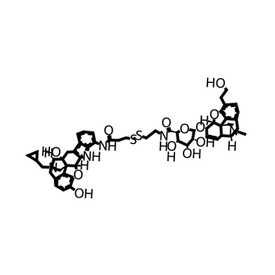 CN1CC[C@]23c4c5ccc(CCO)c4O[C@H]2[C@@H](O[C@@H]2O[C@H](C(=O)NCCSSCCC(=O)Nc4cccc6c7c([nH]c46)[C@@H]4Oc6c(O)ccc8c6[C@@]46CCN(CC4CC4)[C@H](C8)[C@]6(O)C7)[C@@H](O)[C@H](O)[C@H]2O)C=CC3[C@H]1C5